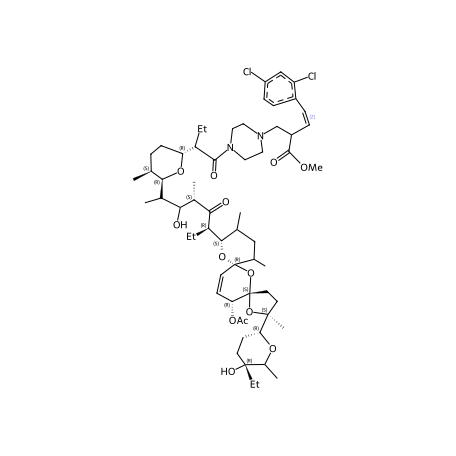 CCC(C(=O)N1CCN(CC(/C=C\c2ccc(Cl)cc2Cl)C(=O)OC)CC1)[C@H]1CC[C@H](C)[C@H](C(C)C(O)[C@H](C)C(=O)[C@H](CC)[C@H]2O[C@]3(C=C[C@@H](OC(C)=O)[C@]4(CC[C@@](C)([C@H]5CC[C@](O)(CC)C(C)O5)O4)O3)C(C)CC2C)O1